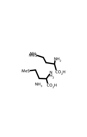 CSCCC(N)C(=O)O.CSCCC(N)C(=O)O.N.N